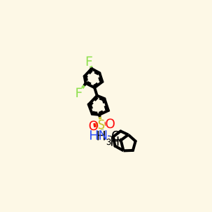 C[C@H]1C2CCC1C[C@@H](NS(=O)(=O)c1ccc(-c3ccc(F)cc3F)cc1)C2